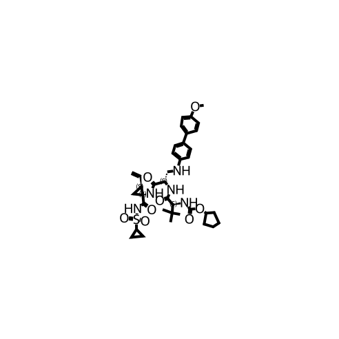 C=C[C@@H]1C[C@]1(NC(=O)[C@H](CNc1ccc(-c2ccc(OC)cc2)cc1)NC(=O)[C@@H](NC(=O)OC1CCCC1)C(C)(C)C)C(=O)NS(=O)(=O)C1CC1